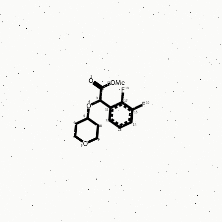 COC(=O)C(OC1CCOCC1)c1cccc(F)c1F